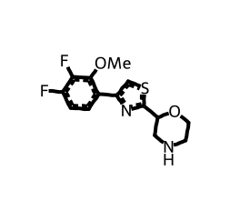 COc1c(-c2csc(C3CNCCO3)n2)ccc(F)c1F